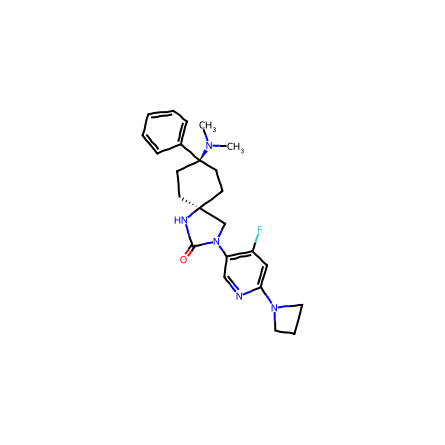 CN(C)[C@]1(c2ccccc2)CC[C@]2(CC1)CN(c1cnc(N3CCC3)cc1F)C(=O)N2